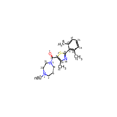 CCCCN1CCCN(C(=O)c2sc(-c3c(C)cccc3C)nc2C)CC1